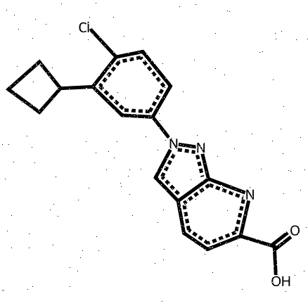 O=C(O)c1ccc2cn(-c3ccc(Cl)c(C4CCC4)c3)nc2n1